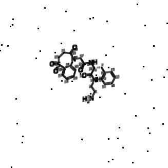 NCCNC(=O)[C@@H](Cc1ccccc1)NC(=O)CN1C(=O)CCS(=O)(=O)c2ccccc21